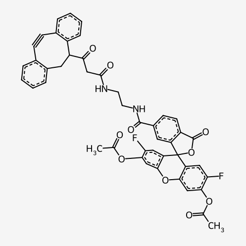 CC(=O)Oc1cc2c(cc1F)C1(OC(=O)c3ccc(C(=O)NCCNC(=O)CC(=O)C4Cc5ccccc5C#Cc5ccccc54)cc31)c1cc(F)c(OC(C)=O)cc1O2